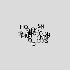 Cc1ncsc1-c1ccc(C(C)NC(=O)[C@@H]2C[C@@H](O)CN2C(=O)C(NC(=O)COCc2cccc(-c3ccc(C4=N[C@@H](CC(=O)O)c5nnc(C)n5-c5sc(C)c(C)c54)cc3)c2)C(C)(C)C)cc1